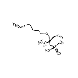 CCCCCCCCCCCCOC(O)(C(=O)O)P(=O)(O)O